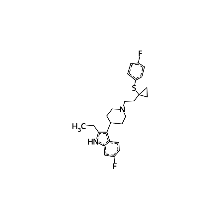 CCc1[nH]c2cc(F)ccc2c1C1CCN(CCC2(Sc3ccc(F)cc3)CC2)CC1